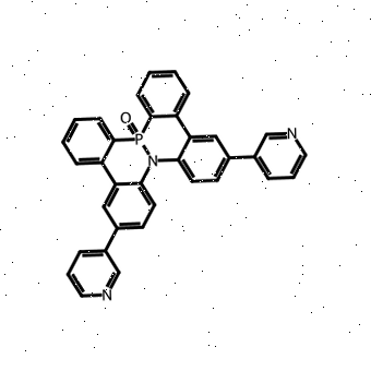 O=P12c3ccccc3-c3cc(-c4cccnc4)ccc3N1c1ccc(-c3cccnc3)cc1-c1ccccc12